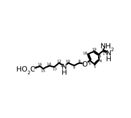 N=C(N)c1ccc(OCCCNCCCCCC(=O)O)cc1